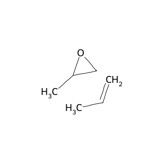 C=CC.CC1CO1